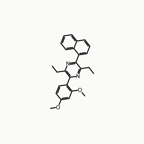 CCc1nc(-c2cccc3ccccc23)c(CC)nc1-c1ccc(OC)cc1OC